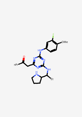 CCCC(=O)Cc1nc(Nc2ccc(OC)c(F)c2)nc(NC(CC)C2CCCN2)n1